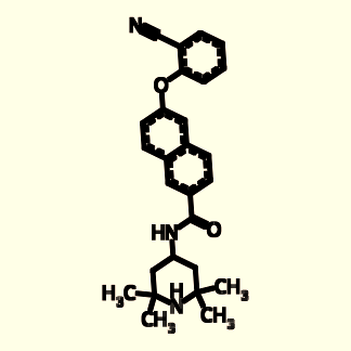 CC1(C)CC(NC(=O)c2ccc3cc(Oc4ccccc4C#N)ccc3c2)CC(C)(C)N1